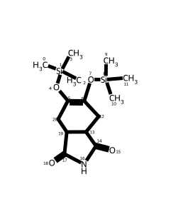 C[Si](C)(C)OC1=C(O[Si](C)(C)C)CC2C(=O)NC(=O)C2C1